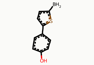 Bc1ccc(-c2ccc(O)cc2)s1